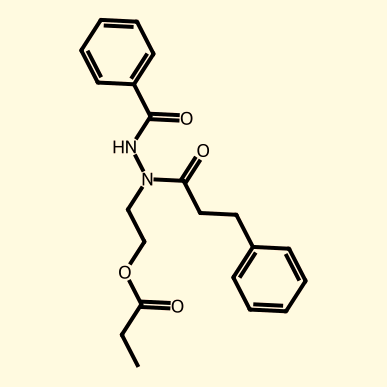 CCC(=O)OCCN(NC(=O)c1ccccc1)C(=O)CCc1ccccc1